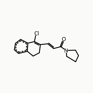 O=C(C=CC1=C(Cl)c2ccccc2CC1)N1CCCC1